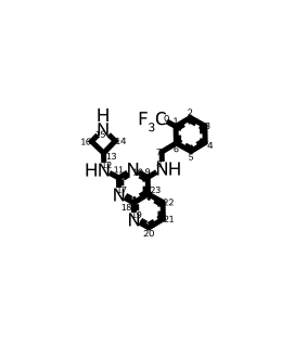 FC(F)(F)c1ccccc1CNc1nc(NC2CNC2)nc2ncccc12